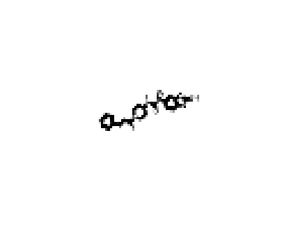 CC(C)N(C(=O)NC1CCN(C(=O)CCc2ccccc2)CC1)c1ccc2nc(S)sc2c1